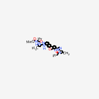 COC(=O)NC(C(=O)N1CC(C)CC1c1nc2ccc3cc4c(cc3c2[nH]1)OCc1cc(-c2cnc([C@@H]3C[C@H](C)CN3C(=O)[CH]C(C)C)[nH]2)ccc1-4)C(C)C